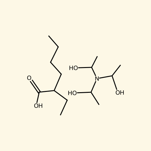 CC(O)N(C(C)O)C(C)O.CCCCC(CC)C(=O)O